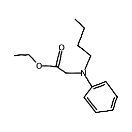 CCCCN(CC(=O)OCC)c1ccccc1